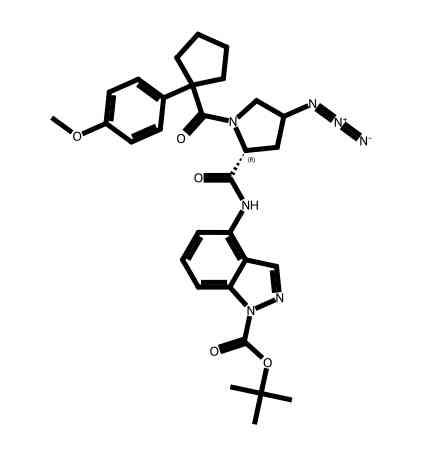 COc1ccc(C2(C(=O)N3CC(N=[N+]=[N-])C[C@@H]3C(=O)Nc3cccc4c3cnn4C(=O)OC(C)(C)C)CCCC2)cc1